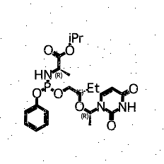 CC[C@@H](COP(N[C@H](C)C(=O)OC(C)C)Oc1ccccc1)O[C@H](C)n1ccc(=O)[nH]c1=O